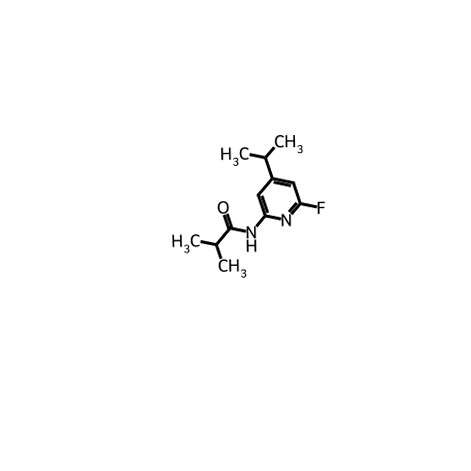 CC(C)C(=O)Nc1cc(C(C)C)cc(F)n1